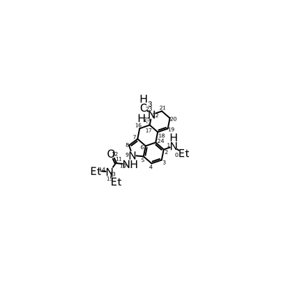 CCNc1ccc2c3c(cn2NC(=O)N(CC)CC)C[C@@H]2C(=CCCN2C)c13